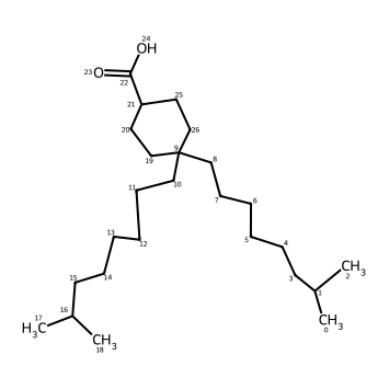 CC(C)CCCCCCC1(CCCCCCC(C)C)CCC(C(=O)O)CC1